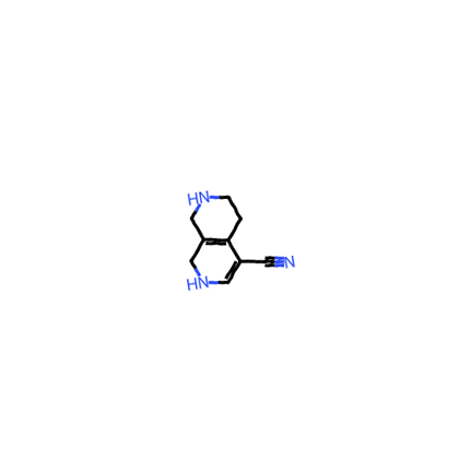 N#CC1=CNCC2=C1CCNC2